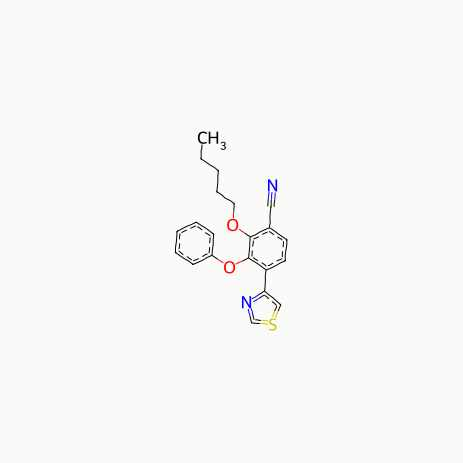 CCCCCOc1c(C#N)ccc(-c2cscn2)c1Oc1ccccc1